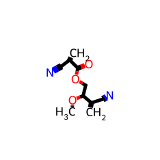 C=C(C#N)C(=O)OCC(OC)C(=C)C#N